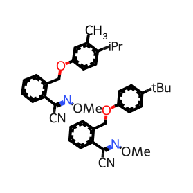 CON=C(C#N)c1ccccc1COc1ccc(C(C)(C)C)cc1.CON=C(C#N)c1ccccc1COc1ccc(C(C)C)c(C)c1